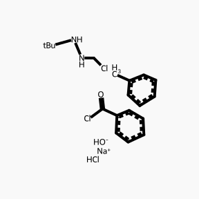 CC(C)(C)NNCCl.Cc1ccccc1.Cl.O=C(Cl)c1ccccc1.[Na+].[OH-]